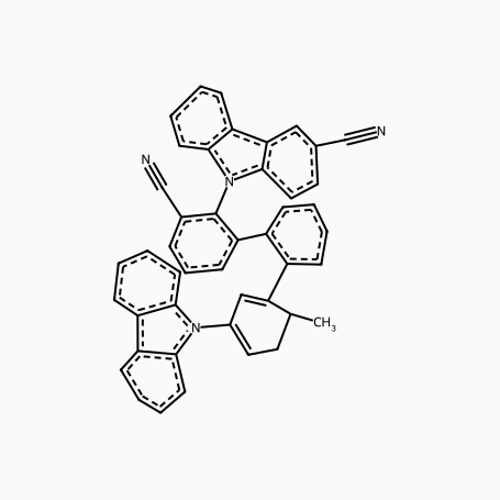 CC1CC=C(n2c3ccccc3c3ccccc32)C=C1c1ccccc1-c1cccc(C#N)c1-n1c2ccccc2c2cc(C#N)ccc21